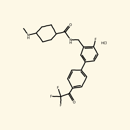 CNC1CCC(C(=O)NCc2cc(-c3ccc(C(=O)C(F)(F)F)cc3)ccc2F)CC1.Cl